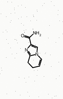 NC(=O)c1cn2c(n1)CCC=C2